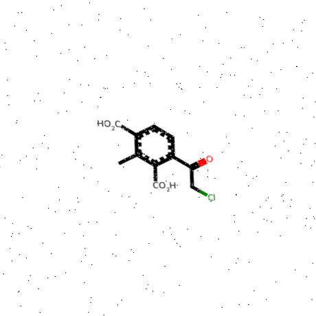 Cc1c(C(=O)O)ccc(C(=O)CCl)c1C(=O)O